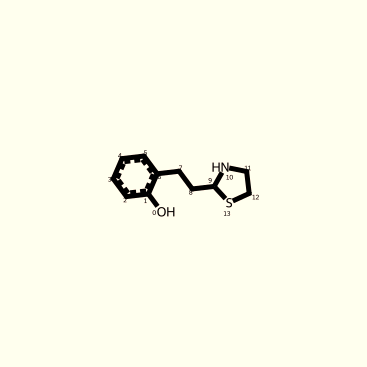 Oc1ccccc1CCC1NCCS1